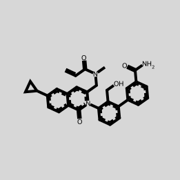 C=CC(=O)N(C)Cc1cc2cc(C3CC3)ccc2c(=O)n1-c1cccc(-c2cccc(C(N)=O)c2)c1CO